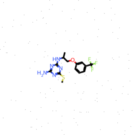 CSc1nc(N)nc(NC(C)COc2cccc(C(F)(F)F)c2)n1